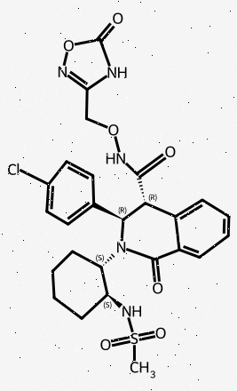 CS(=O)(=O)N[C@H]1CCCC[C@@H]1N1C(=O)c2ccccc2[C@@H](C(=O)NOCc2noc(=O)[nH]2)[C@@H]1c1ccc(Cl)cc1